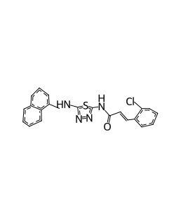 O=C(C=Cc1ccccc1Cl)Nc1nnc(NCc2cccc3ccccc23)s1